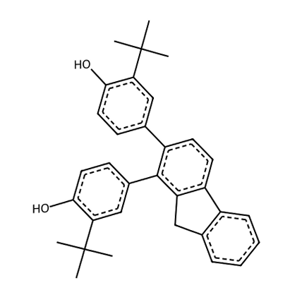 CC(C)(C)c1cc(-c2ccc3c(c2-c2ccc(O)c(C(C)(C)C)c2)Cc2ccccc2-3)ccc1O